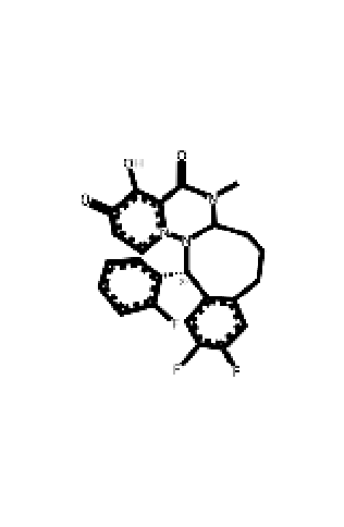 CN1C(=O)c2c(O)c(=O)ccn2N2C1CCCc1cc(F)c(F)cc1[C@@H]2c1ccccc1F